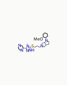 COc1ccccc1N1CCC2CN(CCCSC3NN=C(c4cnccn4)N3C)CC21